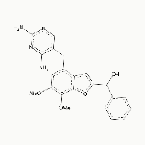 COc1cc(Cc2cnc(N)nc2N)c2cc(C(O)c3ccccc3)oc2c1OC